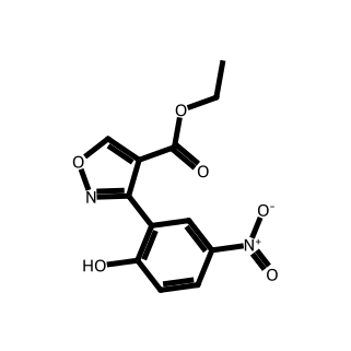 CCOC(=O)c1conc1-c1cc([N+](=O)[O-])ccc1O